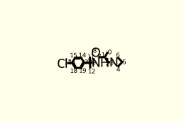 CC(CN1CCC1)C(=O)NC(C)(C)c1ccc(Cl)cc1